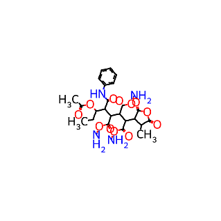 CCC(OC(C)=O)C(C(=O)Nc1ccccc1)C(C(=O)ON)C(C(=O)ON)C(C(=O)ON)C1C(=O)OC(=O)C1C